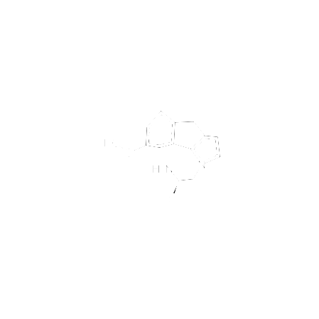 COc1ccc2c(c1)-c1c(ccn1C[C@@H](C)N)C2